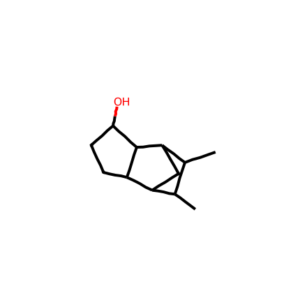 CC1C(C)C2CC1C1CCC(O)C21